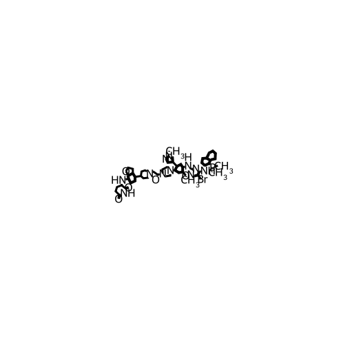 COc1cc(N2CCN(C(=O)CN3CCC(c4ccc(NC5CCC(=O)NC5=O)c5c4CCO5)CC3)CC2)c(-c2cnn(C)c2)cc1Nc1ncc(Br)c(Nc2ccc3ccccc3c2P(C)C)n1